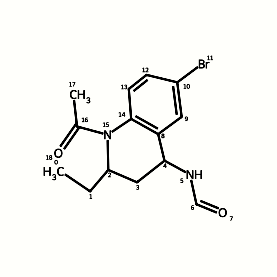 CCC1CC(NC=O)c2cc(Br)ccc2N1C(C)=O